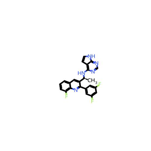 C[C@H](Nc1ncnc2[nH]ccc12)c1cc2cccc(F)c2nc1-c1cc(F)cc(F)c1